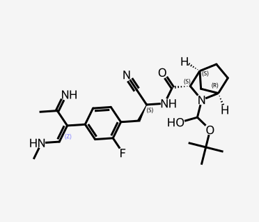 CN/C=C(\C(C)=N)c1ccc(C[C@@H](C#N)NC(=O)[C@@H]2[C@H]3CC[C@H](C3)N2C(O)OC(C)(C)C)c(F)c1